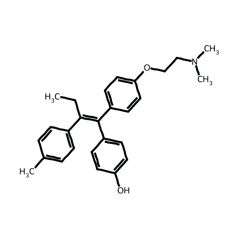 CC/C(=C(/c1ccc(O)cc1)c1ccc(OCCN(C)C)cc1)c1ccc(C)cc1